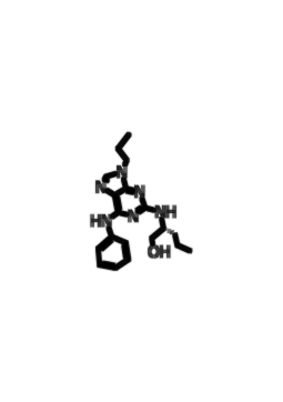 CCC[C@H](CO)Nc1nc(Nc2ccccc2)c2ncn(CCC)c2n1